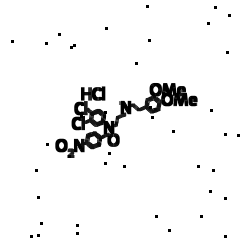 COc1ccc(CCN(C)CCCN(C(=O)c2ccc([N+](=O)[O-])cc2)c2ccc(Cl)c(Cl)c2)cc1OC.Cl